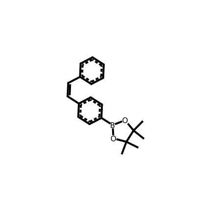 CC1(C)OB(c2ccc(/C=C\c3ccccc3)cc2)OC1(C)C